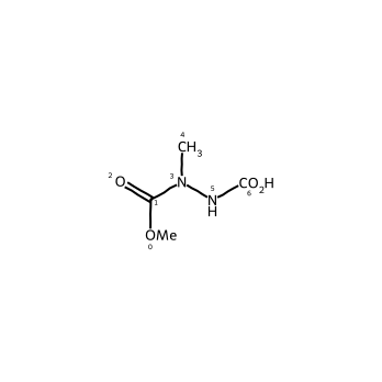 COC(=O)N(C)NC(=O)O